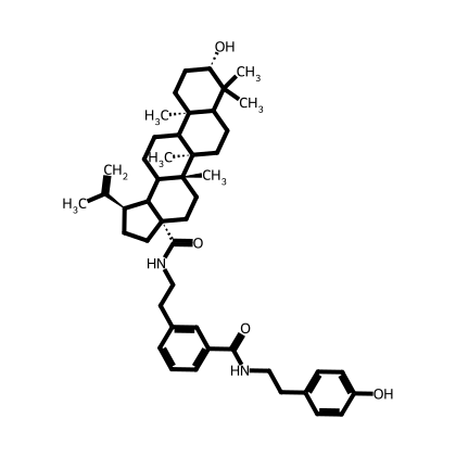 C=C(C)[C@@H]1CC[C@]2(C(=O)NCCc3cccc(C(=O)NCCc4ccc(O)cc4)c3)CC[C@]3(C)C(CCC4[C@@]5(C)CC[C@H](O)C(C)(C)C5CC[C@]43C)C12